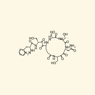 C[C@@H](O)[C@@H]1NC(=O)[C@H](CO)NNC(C(=O)C(=O)[C@H](CO)NC(=O)[C@H](Cc2ccccc2)NN)CCC(=O)NC(CO)C(=O)C(=O)[C@H](CC(N)=O)NC1=O